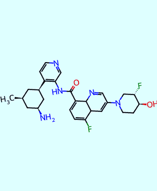 C[C@@H]1C[C@H](N)C[C@H](c2ccncc2NC(=O)C2=CC=C(F)C3C=C(N4CC[C@H](O)[C@@H](F)C4)C=NC23)C1